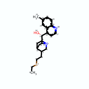 CCSCCC1CN2CCC1CC2[C@H](O)c1ccnc2ccc(C)cc12